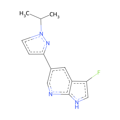 CC(C)n1ccc(-c2cnc3[nH]cc(F)c3c2)n1